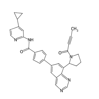 CC#CC(=O)N1CCCC1c1cc(-c2ccc(C(=O)Nc3cc(C4CC4)ccn3)cc2)cc2cncnc12